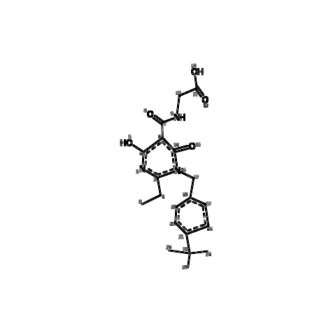 CCc1nc(O)c(C(=O)NCC(=O)O)c(=O)n1Cc1ccc(C(C)(C)C)cc1